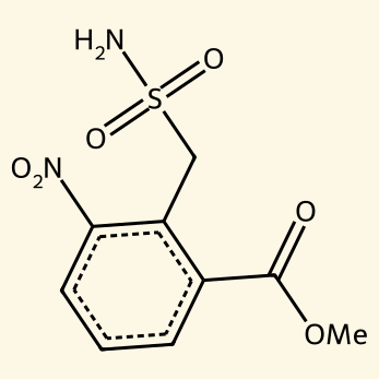 COC(=O)c1cccc([N+](=O)[O-])c1CS(N)(=O)=O